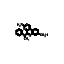 CN(c1ccccc1)c1nc2cc(C(=O)O)ccc2c2cnc(N)nc12